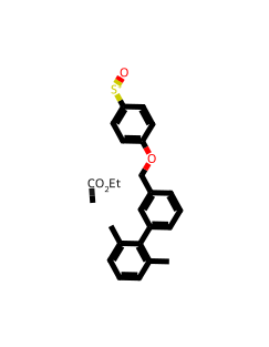 CCOC(C)=O.Cc1cccc(C)c1-c1cccc(COc2ccc([S+]=O)cc2)c1